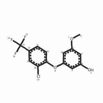 COc1cc(O)cc(Oc2ccc(C(F)(F)F)cc2Cl)c1